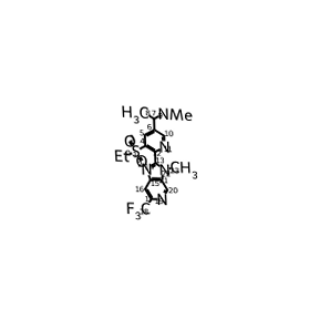 CCS(=O)(=O)c1cc(C(C)NC)cnc1-c1nc2cc(C(F)(F)F)ncc2n1C